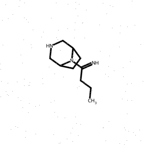 CCCC(=N)N1C2CCC1CNC2